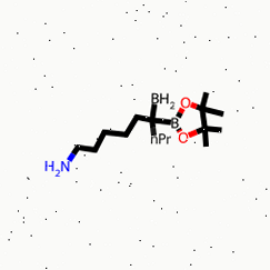 BC(CCC)(CCCCCN)B1OC(C)(C)C(C)(C)O1